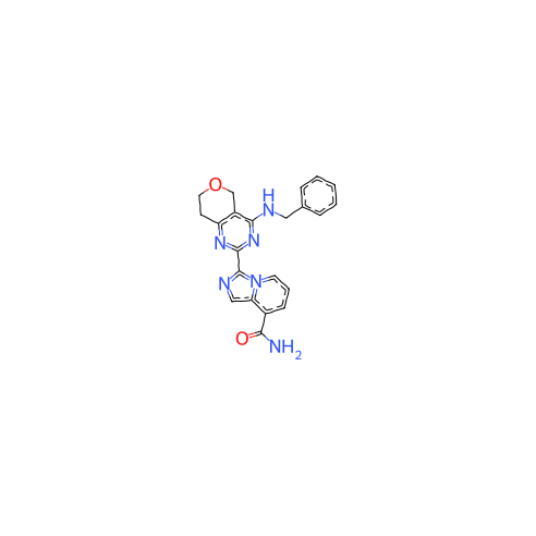 NC(=O)c1cccn2c(-c3nc4c(c(NCc5ccccc5)n3)COCC4)ncc12